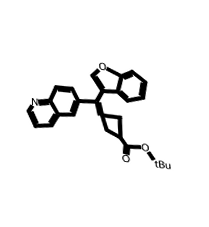 CC(C)(C)OC(=O)C1CC(=C(c2ccc3ncccc3c2)c2coc3ccccc23)C1